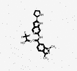 Cc1nn(C)c2cc(C(=O)Nc3cc4[nH]c([C@H]5CCCN5)cc4cn3)ccc12.O=C(O)C(F)(F)F